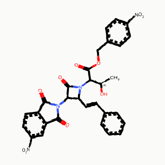 C[C@@H](O)C(C(=O)OCc1ccc([N+](=O)[O-])cc1)N1C(=O)C(N2C(=O)c3ccc([N+](=O)[O-])cc3C2=O)C1C=Cc1ccccc1